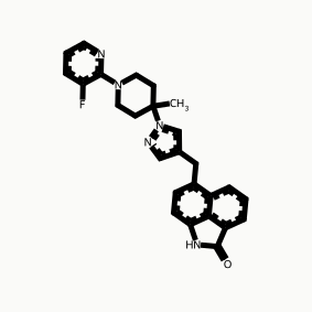 CC1(n2cc(Cc3ccc4c5c(cccc35)C(=O)N4)cn2)CCN(c2ncccc2F)CC1